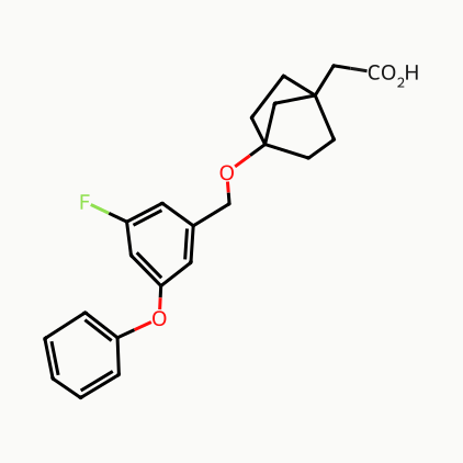 O=C(O)CC12CCC(OCc3cc(F)cc(Oc4ccccc4)c3)(CC1)C2